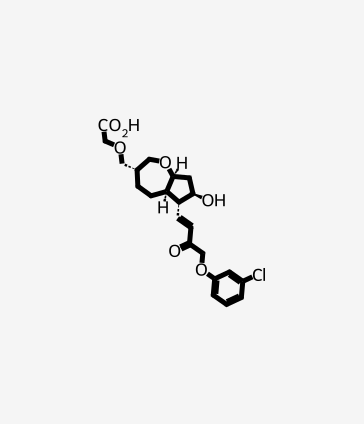 O=C(O)COC[C@H]1CC[C@@H]2[C@@H](/C=C/C(=O)COc3cccc(Cl)c3)[C@H](O)C[C@@H]2OC1